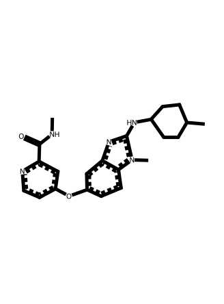 CNC(=O)c1cc(Oc2ccc3c(c2)nc(NC2CCC(C)CC2)n3C)ccn1